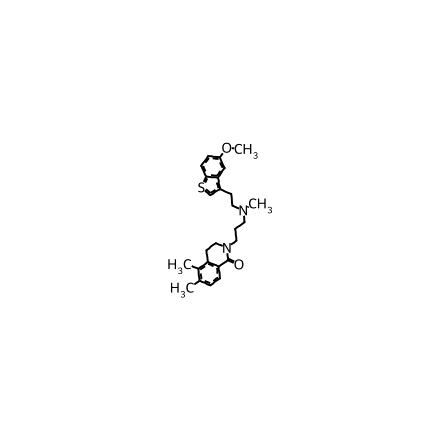 COc1ccc2scc(CCN(C)CCCN3CCc4c(ccc(C)c4C)C3=O)c2c1